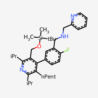 CCCCCc1c(C(C)C)nc(C(C)C)c(CO[Si](C)(C)C(C)(C)C)c1-c1ccc(F)c(CNCc2ccccn2)c1